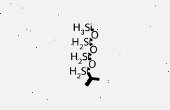 C=C(C)[SiH2]O[SiH2]O[SiH2]O[SiH3]